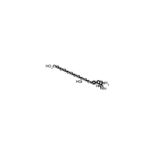 CCCCc1nc2c(N)nc3ccc(N4CCN(CCOCCOCCOCCOCCOCCOCCOCCOCCOCCOCCC(=O)O)CC4)cc3c2[nH]1.Cl